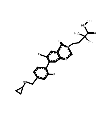 CC(C)(CCn1cnc2cc(-c3ccc(CNC4CC4)cc3F)c(F)cc2c1=O)C(=O)NO